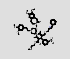 COCCOC(=O)C1=C(C)NC(C)=C(COC/C=C/c2ccccc2)C1c1cccc([N+](=O)[O-])c1.COc1ccc(CCN2CCC[C@H](CN3CCc4cc(OC)c(OC)cc4CC3=O)C2)cc1OC